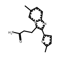 Cc1ccc2nc(-c3ccc(C)s3)c(CCC(N)=O)n2c1